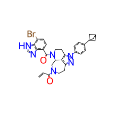 C=CC(=O)N1CCc2nn(-c3ccc(C45CC(C4)C5)cc3)c3c2C(C1)N(C(=O)c1ccc(Br)c2[nH]cnc12)CC3